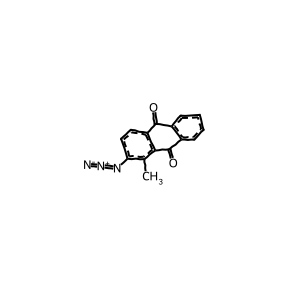 Cc1c(N=[N+]=[N-])ccc2c1C(=O)c1ccccc1C2=O